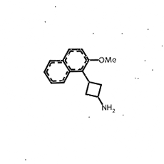 COc1ccc2ccccc2c1C1CC(N)C1